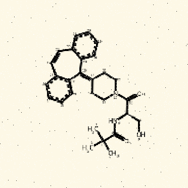 CC(C)(C)C(=O)N[C@H](CO)C(=O)N1CCC(=C2c3ccccc3C=Cc3ccccc32)CC1